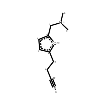 CN(C)Cc1ccc(CCC#N)o1